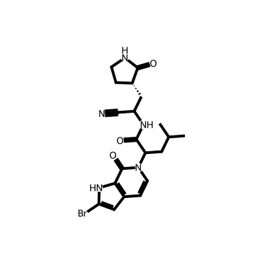 CC(C)CC(C(=O)NC(C#N)C[C@@H]1CCNC1=O)n1ccc2cc(Br)[nH]c2c1=O